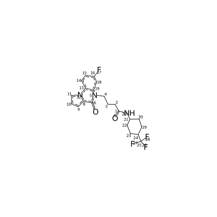 O=C(CCCn1c(=O)c2cccn2c2ccc(F)cc21)NC1CCC(C(F)(F)F)CC1